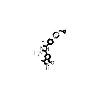 Cc1c[nH]c(=O)c2ccc(-c3nc(-c4ccc(N5CCN(CC6CC6)CC5)cc4)c(F)nc3N)cc12